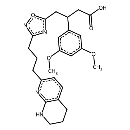 COc1cc(OC)cc(C(CC(=O)O)Cc2nc(CCCc3ccc4c(n3)NCCC4)no2)c1